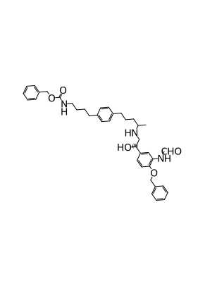 CC(CCCc1ccc(CCCCNC(=O)OCc2ccccc2)cc1)NC[C@H](O)c1ccc(OCc2ccccc2)c(NC=O)c1